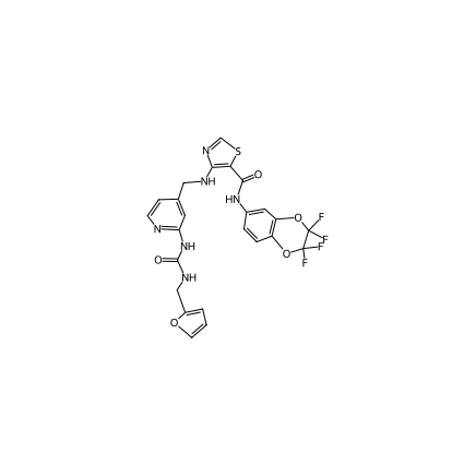 O=C(NCc1ccco1)Nc1cc(CNc2ncsc2C(=O)Nc2ccc3c(c2)OC(F)(F)C(F)(F)O3)ccn1